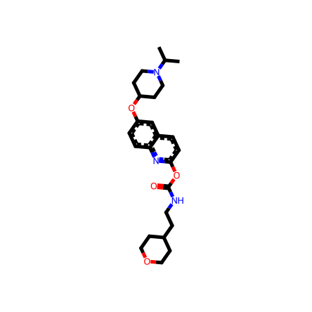 CC(C)N1CCC(Oc2ccc3nc(OC(=O)NCCC4CCOCC4)ccc3c2)CC1